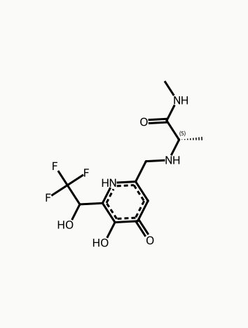 CNC(=O)[C@H](C)NCc1cc(=O)c(O)c(C(O)C(F)(F)F)[nH]1